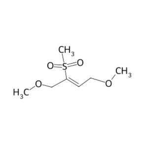 COCC=C(COC)S(C)(=O)=O